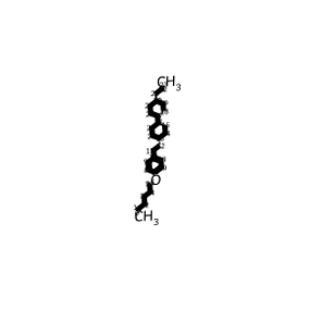 CCCCCCOc1ccc(CC[C@H]2CC[C@H]([C@H]3CC[C@H](CCC)CC3)CC2)cc1